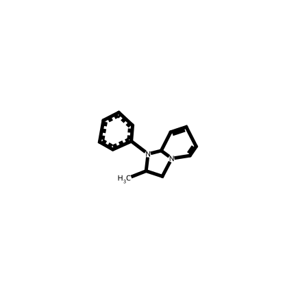 CC1CN2C=CC=CC2N1c1ccccc1